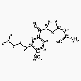 CN(C)CCOc1cc(C(=O)N2CCC(OC(N)=O)C2)ccc1[N+](=O)[O-]